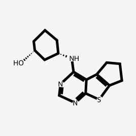 O[C@@H]1CCC[C@H](Nc2ncnc3sc4c(c23)CCC4)C1